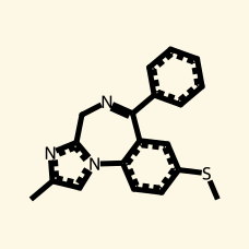 CSc1ccc2c(c1)C(c1ccccc1)=NCc1nc(C)cn1-2